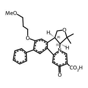 COCCCOc1cc2c(cc1-c1ccccc1)-c1cc(=O)c(C(=O)O)cn1[C@H]1[C@@H]2COC1(C)C